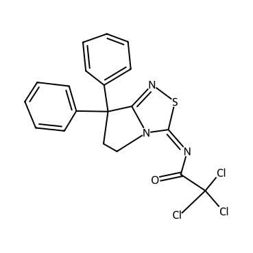 O=C(N=c1snc2n1CCC2(c1ccccc1)c1ccccc1)C(Cl)(Cl)Cl